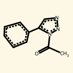 CC(=O)n1nncc1-c1ccccc1